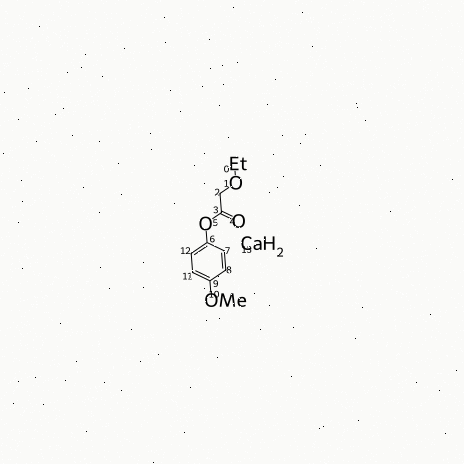 CCOCC(=O)Oc1ccc(OC)cc1.[CaH2]